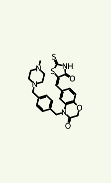 CN1CCN(Cc2ccc(CN3C(=O)COc4ccc(C=C5SC(=S)NC5=O)cc43)cc2)CC1